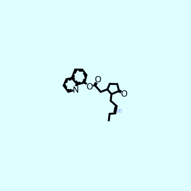 CC/C=C\CC1C(=O)CCC1CC(=O)Oc1cccc2cccnc12